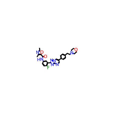 Cc1nc(C)c(C(=O)Nc2ccc(F)c(-c3nc4ncc(-c5ccc(CCN6CCOCC6)cc5)cn4n3)c2)o1